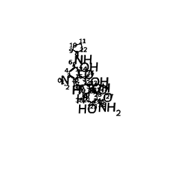 CN(C)c1cc(CNC2CCCC2)c(O)c2c1C[C@H]1C[C@H]3CC(O)=C(C(N)=O)C(=O)[C@@]3(O)C(O)=C1C2=O